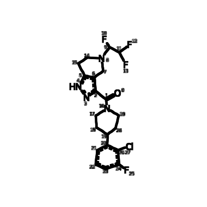 O=C(c1n[nH]c2c1CN(C(F)C(F)F)CC2)N1CCC(c2cccc(F)c2Cl)CC1